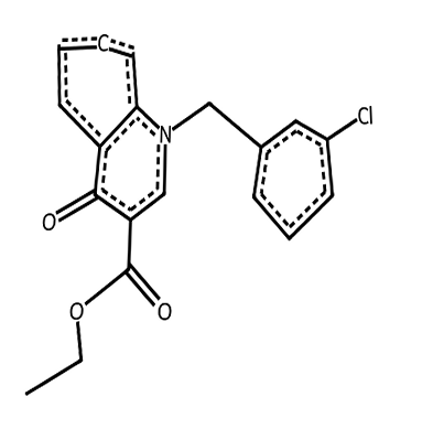 CCOC(=O)c1cn(Cc2cccc(Cl)c2)c2ccccc2c1=O